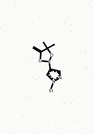 C=C1OB(c2cnn(CC)c2)OC1(C)C